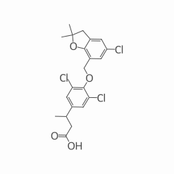 CC(CC(=O)O)c1cc(Cl)c(OCc2cc(Cl)cc3c2OC(C)(C)C3)c(Cl)c1